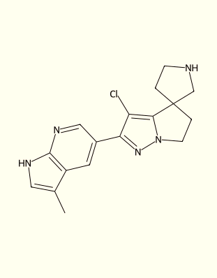 Cc1c[nH]c2ncc(-c3nn4c(c3Cl)C3(CCNC3)CC4)cc12